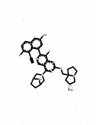 C#Cc1c(F)ccc2cc(O)cc(-c3ncc4c(N5CC6CCC(C5)N6)nc(OCC56CCCN5C[C@H](SC)C6)nc4c3F)c12